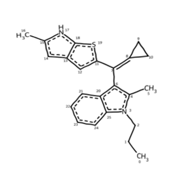 CCCn1c(C)c(C(=C2CC2)c2cc3cc(C)[nH]c3s2)c2ccccc21